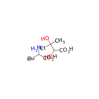 CCC(C)(O)C(O)C(=O)O.CCC(C)C(N)C(=O)O